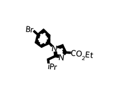 CCOC(=O)c1cn(-c2ccc(Br)cc2)c(CC(C)C)n1